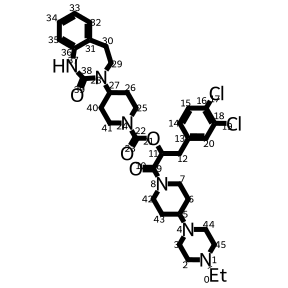 CCN1CCN(C2CCN(C(=O)C(Cc3ccc(Cl)c(Cl)c3)OC(=O)N3CCC(N4CCc5ccccc5NC4=O)CC3)CC2)CC1